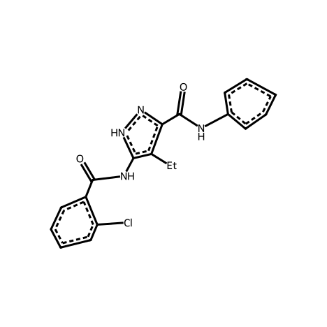 CCc1c(C(=O)Nc2ccccc2)n[nH]c1NC(=O)c1ccccc1Cl